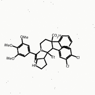 CCC1(C2CCNC2)C(c2ccc(Cl)c(Cl)c2)C(C(=O)O)(c2cccnc2)CCN1C(=O)c1cc(OC)c(OC)c(OC)c1